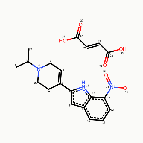 CC(C)N1CC=C(c2cc3cccc([N+](=O)[O-])c3[nH]2)CC1.O=C(O)C=CC(=O)O